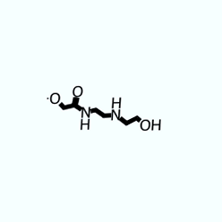 [O]CC(=O)NCCNCCO